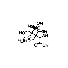 O=C(O)C(S)C(CO)(C(S)C(=O)O)C(CO)(SCO)C(=O)O